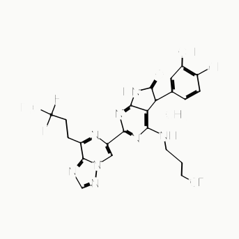 C[C@@]1(c2ccc(Cl)c(O)c2)C(=O)Nc2nc(-c3cn4ncnc4c(CCC(F)(F)C(F)(F)F)n3)nc(NCCCC(F)(F)F)c21